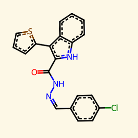 O=C(N/N=C\c1ccc(Cl)cc1)c1[nH]c2ccccc2c1-c1cccs1